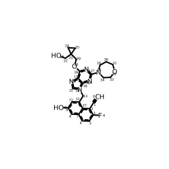 C#Cc1c(F)ccc2cc(O)cc(Cn3cnc4c(OCC5(CO)CC5)nc(N5CCCOCC5)nc43)c12